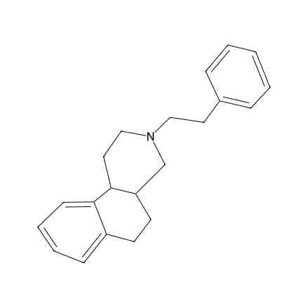 c1ccc(CCN2CCC3c4ccccc4CCC3C2)cc1